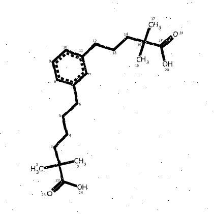 CC(C)(CCCCc1cccc(CCCC(C)(C)C(=O)O)c1)C(=O)O